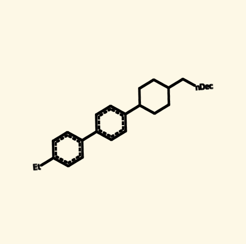 CCCCCCCCCCCC1CCC(c2ccc(-c3ccc(CC)cc3)cc2)CC1